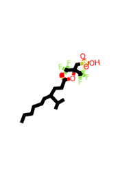 CCCCCCC(CCC(=O)OC(CS(=O)(=O)O)(C(F)(F)F)C(F)(F)F)C(C)C